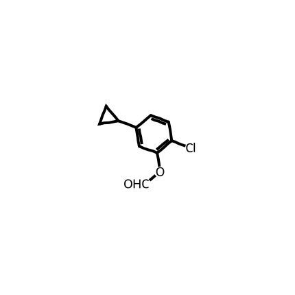 O=COc1cc(C2CC2)ccc1Cl